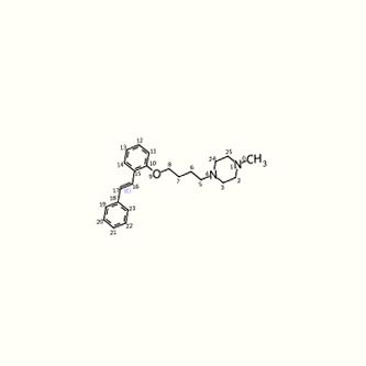 CN1CCN(CCCCOc2ccccc2/C=C/c2ccccc2)CC1